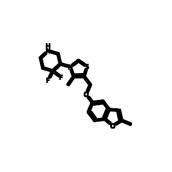 CC1=C(COc2ccc3oc(C)cc3c2)SCN1C1CNCCC1(F)F